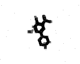 Cl.O=[N+]([O-])c1cc(N2CCNCC2)ccc1Cl